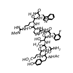 CNC(=N)NCCC[C@H](NC(=O)[C@H](CC(C)C)NC(=O)NNC(=O)[C@H](Cc1ccccc1F)NC(=O)C(NC(=O)[C@H](CC(N)=O)NC(=O)[C@H](CCC(=O)O)NC(=O)[C@@H](Cc1ccc(O)cc1)NC(C)=O)[C@@H](C)O)C(=O)N[C@@H](Cc1c[nH]c2ccccc12)C(N)=O